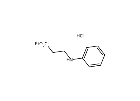 CCOC(=O)CCNc1ccccc1.Cl